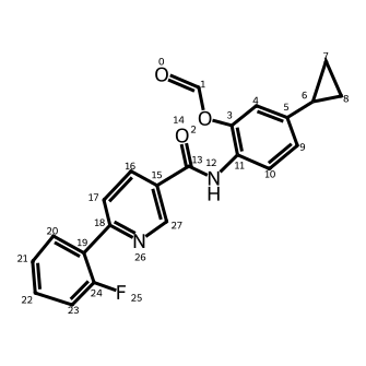 O=COc1cc(C2CC2)ccc1NC(=O)c1ccc(-c2ccccc2F)nc1